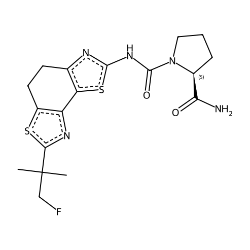 CC(C)(CF)c1nc2c(s1)CCc1nc(NC(=O)N3CCC[C@H]3C(N)=O)sc1-2